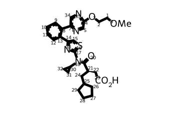 COCCOc1cnc(-c2ccccc2-c2csc(N(C(=O)[C@@H](CC(=O)O)CC3CCCC3)C3CC3)n2)cn1